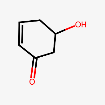 O=C1C=CCC(O)C1